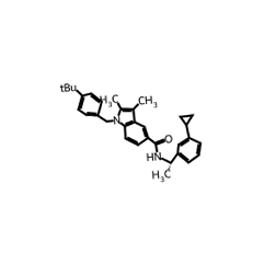 Cc1c(C)n(Cc2ccc(C(C)(C)C)cc2)c2ccc(C(=O)N[C@@H](C)c3cccc(C4CC4)c3)cc12